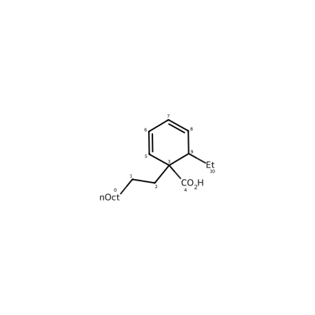 CCCCCCCCCCC1(C(=O)O)C=CC=CC1CC